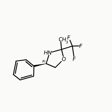 CC1(C(F)(F)F)N[C@H](c2ccccc2)CO1